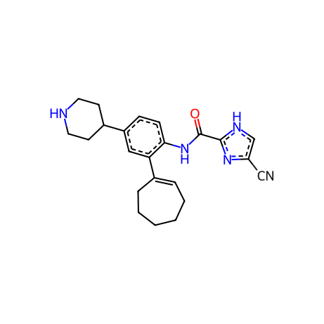 N#Cc1c[nH]c(C(=O)Nc2ccc(C3CCNCC3)cc2C2=CCCCCC2)n1